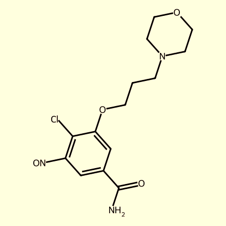 NC(=O)c1cc(N=O)c(Cl)c(OCCCN2CCOCC2)c1